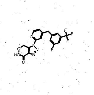 O=C1NOCc2c1nnn2-c1cc(Cc2cc(F)cc(C(F)(F)F)c2)ccn1